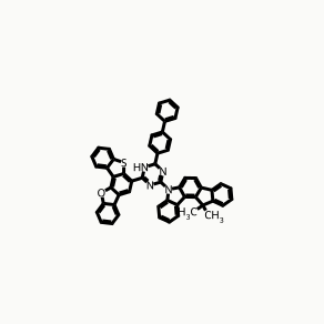 CC1(C)c2ccccc2-c2ccc3c(c21)c1ccccc1n3C1=NC(c2ccc(-c3ccccc3)cc2)NC(c2cc3c4ccccc4oc3c3c2sc2ccccc23)=N1